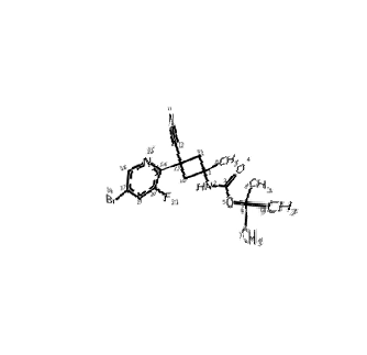 CC1(NC(=O)OC(C)(C)C)CC(C#N)(c2ncc(Br)cc2F)C1